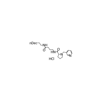 CCCCCCCCCCCCNC(=O)CCCNC(=O)C1CCCN1Cc1cccnc1.Cl